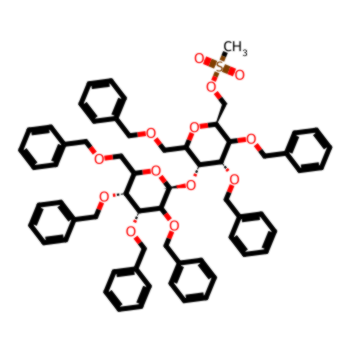 CS(=O)(=O)OC[C@@H]1OC(COCc2ccccc2)[C@@H](O[C@@H]2OC(COCc3ccccc3)[C@@H](OCc3ccccc3)[C@@H](OCc3ccccc3)C2OCc2ccccc2)[C@@H](OCc2ccccc2)C1OCc1ccccc1